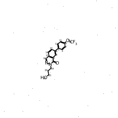 O=c1c2cc(-c3ccc(OC(F)(F)F)cc3)ccc2cnn1CCCO